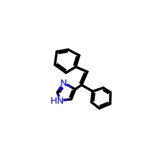 C(=C(\c1ccccc1)c1c[nH]cn1)/c1ccccc1